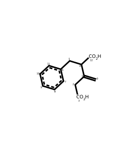 C=C(CC(=O)O)C(Cc1ccccc1)C(=O)O